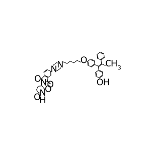 CC/C(=C(\c1ccc(O)cc1)c1ccc(OCCCCCCN2CCN(c3ccc4c(c3)C(=O)N(C3CCC(=O)NC3=O)C4=O)CC2)cc1)c1ccccc1